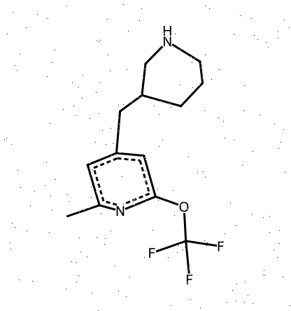 Cc1cc(CC2CCCNC2)cc(OC(F)(F)F)n1